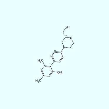 Cc1cc(C)c(-c2ccc(N3CCO[C@@H](CS)C3)nn2)c(O)c1